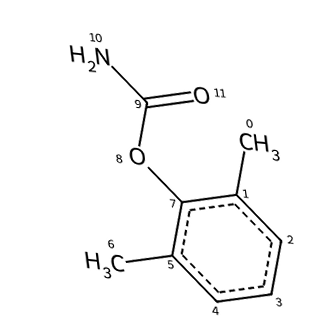 Cc1cccc(C)c1OC(N)=O